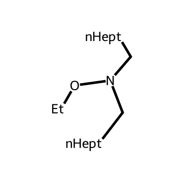 CCCCCCCCN(CCCCCCCC)OCC